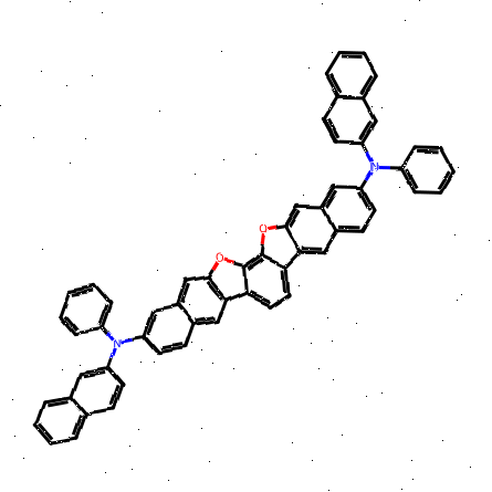 c1ccc(N(c2ccc3ccccc3c2)c2ccc3cc4c(cc3c2)oc2c4ccc3c4cc5ccc(N(c6ccccc6)c6ccc7ccccc7c6)cc5cc4oc32)cc1